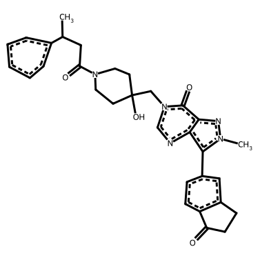 CC(CC(=O)N1CCC(O)(Cn2cnc3c(-c4ccc5c(c4)CCC5=O)n(C)nc3c2=O)CC1)c1ccccc1